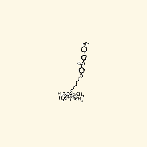 CCCC1CCC(c2ccc(OC(=O)c3ccc(OCCCCCCC[Si](C)(C[Si](C)(C)C)O[Si](C)(C)C)cc3)cc2)CC1